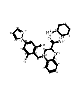 O=C(N[C@H]1CCCC[C@@H]1O)C1CN(Cc2c(F)cc(-n3cccn3)cc2F)c2ccccc2O1